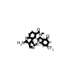 CN(C(=O)c1ccc2nc(N)c3cnn(C)c3c2c1)[C@H]1COc2cc(C(F)(F)F)cc(Cl)c21